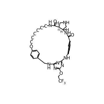 O=C1N[C@H]2CNC[C@@H]2C(=O)NCCCCCCOc2ccc(cc2)CNc2nc(nc(OCC(F)(F)F)n2)Nc2ccc1cc2